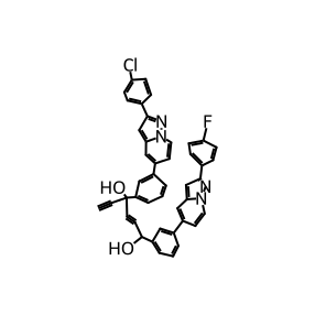 C#CC(O)(C#CC(O)c1cccc(-c2ccn3nc(-c4ccc(F)cc4)cc3c2)c1)c1cccc(-c2ccn3nc(-c4ccc(Cl)cc4)cc3c2)c1